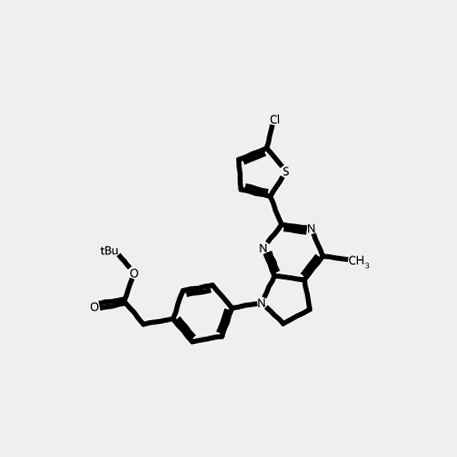 Cc1nc(-c2ccc(Cl)s2)nc2c1CCN2c1ccc(CC(=O)OC(C)(C)C)cc1